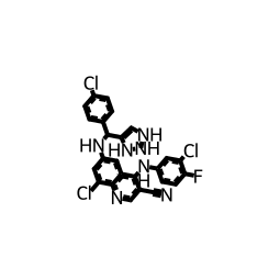 N#Cc1cnc2c(Cl)cc(NC(C3=CNNN3)c3ccc(Cl)cc3)cc2c1Nc1ccc(F)c(Cl)c1